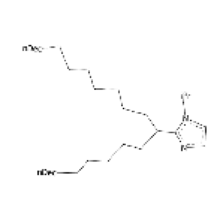 CCCCCCCCCCCCCCCCCC(CCCCCCCCCCCCCCC)c1nccn1C(C)C